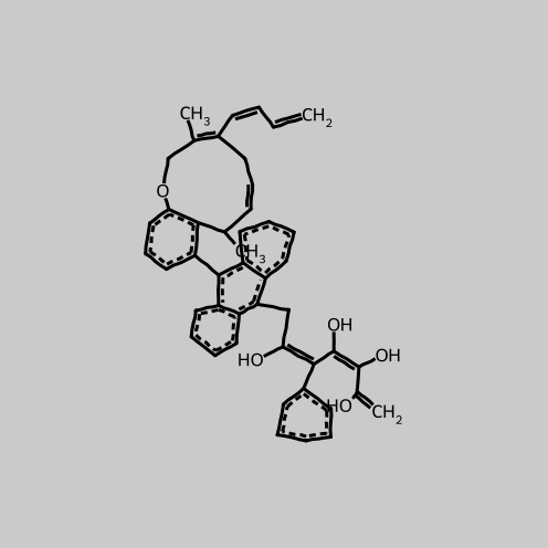 C=C/C=C\C1=C(/C)COc2cccc(-c3c4ccccc4c(C/C(O)=C(\C(O)=C(\O)C(=C)O)c4ccccc4)c4ccccc34)c2C(C)/C=C\C1